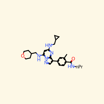 CCCNC(=O)c1ccc(-c2cnn3c(NCC4CCOCC4)cc(NCC4CC4)nc23)cc1C